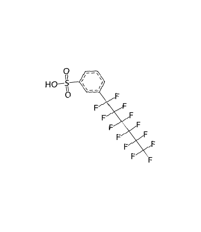 O=S(=O)(O)c1cccc(C(F)(F)C(F)(F)C(F)(F)C(F)(F)C(F)(F)C(F)(F)F)c1